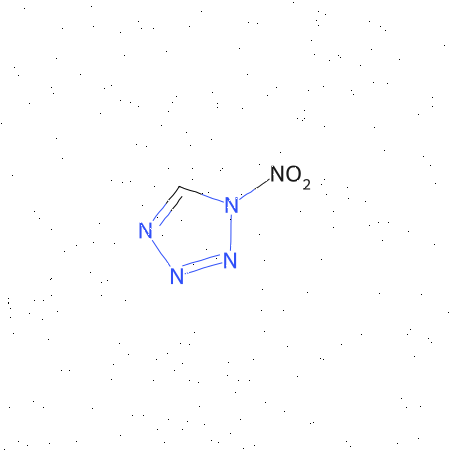 O=[N+]([O-])n1cnnn1